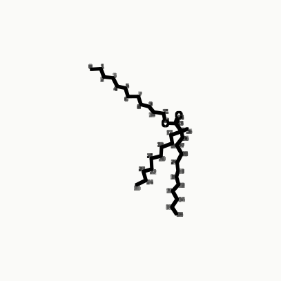 CCCCCCCCCCCCOC(=O)C(C)(CCCCCCCCC)CCCCCCCCCCC